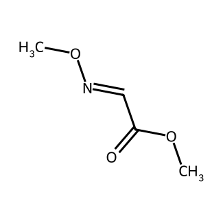 CON=CC(=O)OC